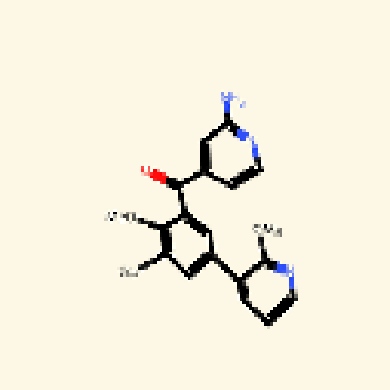 COc1ncccc1-c1cc(C(=O)c2ccnc(N)c2)c(OC)c(C(C)(C)C)c1